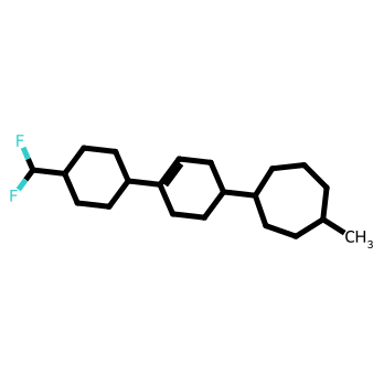 CC1CCCC(C2CC=C(C3CCC(C(F)F)CC3)CC2)CC1